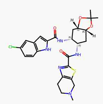 CN1CCc2nc(C(=O)N[C@H]3C[C@H]4OC(C)(C)O[C@H]4C[C@H]3NC(=O)c3cc4cc(Cl)ccc4[nH]3)sc2C1